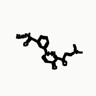 CNC(=O)c1cccc(-n2ccc(=O)c(C(=O)C=CN(C)C)n2)c1